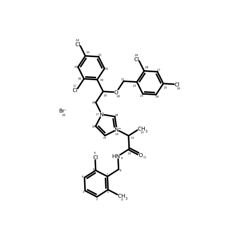 Cc1cccc(Cl)c1CNC(=O)C(C)[n+]1ccn(CC(OCc2ccc(Cl)cc2Cl)c2ccc(Cl)cc2Cl)c1.[Br-]